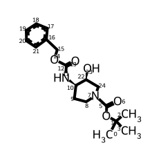 CC(C)(C)OC(=O)N1CC[C@@H](NC(=O)OCc2ccccc2)[C@@H](O)C1